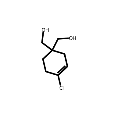 OCC1(CO)CC=C(Cl)CC1